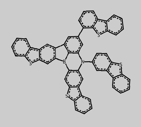 c1ccc2c(c1)sc1ccc(N3c4cc5c(cc4B4c6cc7sc8ccccc8c7cc6-c6cc(-c7cccc8c7sc7ccccc78)cc3c64)sc3ccccc35)cc12